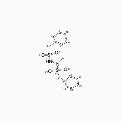 CN(NS(=O)(=O)Cc1ccccc1)S(=O)(=O)Cc1ccccc1